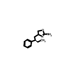 CC[C@H](CC1COC(N)=N1)c1ccccc1